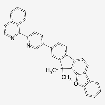 CC1(C)c2cc(-c3ccc(-c4nccc5ccccc45)nc3)ccc2-c2ccc3c(oc4ccccc43)c21